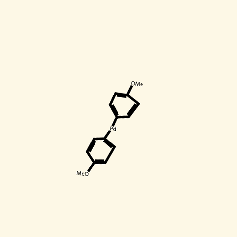 COc1cc[c]([Pd][c]2ccc(OC)cc2)cc1